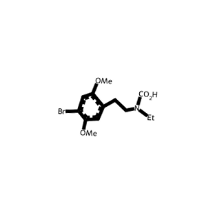 CCN(CCc1cc(OC)c(Br)cc1OC)C(=O)O